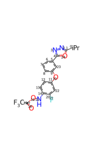 CC(C)c1nnc(-c2cccc(Oc3ccc(NOC(=O)C(F)(F)F)c(F)c3)c2)o1